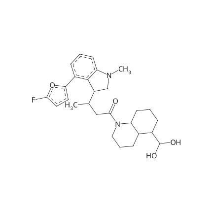 CC(CC(=O)N1CCCC2C(C(O)O)CCCC21)C1CN(C)c2cccc(-c3ccc(F)o3)c21